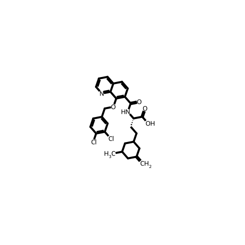 C=C1CC(C)CC(CC[C@H](NC(=O)c2ccc3cccnc3c2OCc2ccc(Cl)c(Cl)c2)C(=O)O)C1